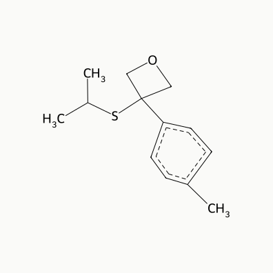 Cc1ccc(C2(SC(C)C)COC2)cc1